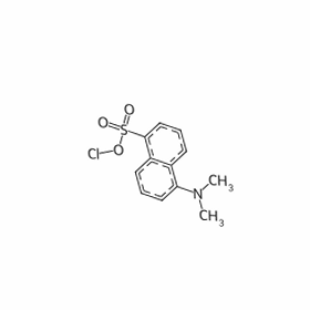 CN(C)c1cccc2c(S(=O)(=O)OCl)cccc12